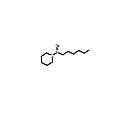 CCCCCCN(Br)N1CCCCC1